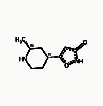 C[C@H]1C[C@H](c2cc(=O)[nH]o2)CCN1